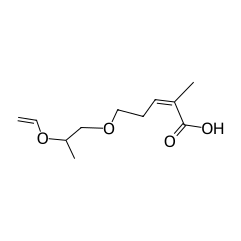 C=COC(C)COCCC=C(C)C(=O)O